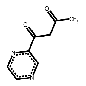 O=C(CC(=O)C(F)(F)F)c1cnccn1